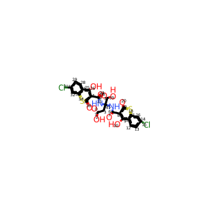 O=C(O)CC(NC(=O)c1c(O)c2ccc(Cl)cc2sc1=O)(NC(=O)c1c(O)c2ccc(Cl)cc2sc1=O)C(=O)O